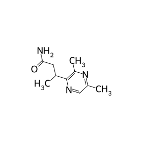 Cc1cnc(C(C)CC(N)=O)c(C)n1